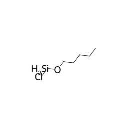 CCCCCO[SiH2]Cl